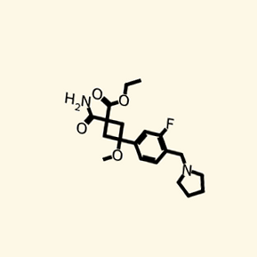 CCOC(=O)C1(C(N)=O)CC(OC)(c2ccc(CN3CCCC3)c(F)c2)C1